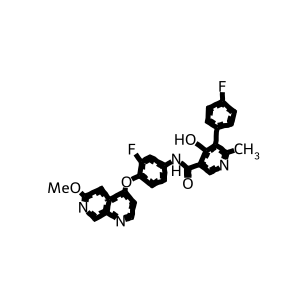 COc1cc2c(Oc3ccc(NC(=O)c4cnc(C)c(-c5ccc(F)cc5)c4O)cc3F)ccnc2cn1